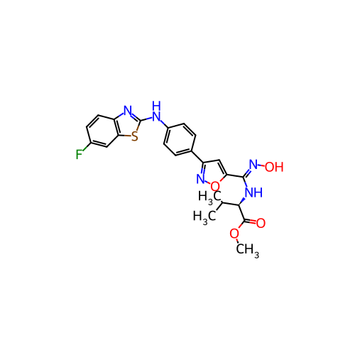 COC(=O)[C@H](N/C(=N\O)c1cc(-c2ccc(Nc3nc4ccc(F)cc4s3)cc2)no1)C(C)C